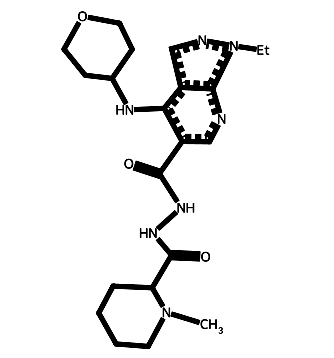 CCn1ncc2c(NC3CCOCC3)c(C(=O)NNC(=O)C3CCCCN3C)cnc21